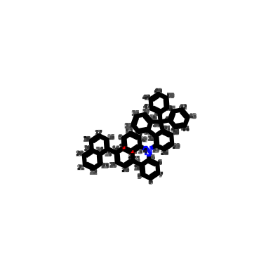 c1ccc(N(c2ccccc2-c2ccc(-c3cccc4ccccc34)cc2)c2cccc3c2-c2ccccc2C3(c2ccccc2)c2ccccc2)cc1